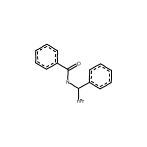 CCCC([N]C(=O)c1ccccc1)c1ccccc1